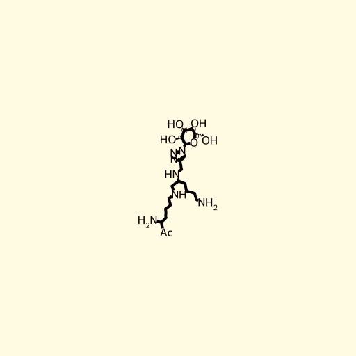 CC(=O)C(N)CCCCNCC(CCCCN)NCc1cn(C2O[C@@H](CO)[C@@H](O)[C@@H](O)[C@@H]2O)nn1